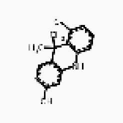 CC1(C)c2ccc(O)cc2Nc2cccc(Cl)c21